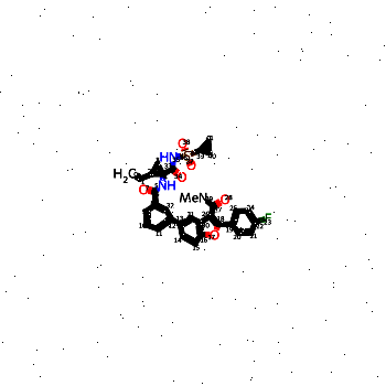 C=CC1CC1(NC(=O)c1cccc(-c2ccc3oc(-c4ccc(F)cc4)c(C(=O)NC)c3c2)c1)C(=O)NS(=O)(=O)C1CC1